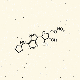 O=[N+]([O-])OC[C@H]1O[C@@H](C2C=Nc3c(NC4CCCC4)ncnc32)[C@H](O)[C@@H]1O